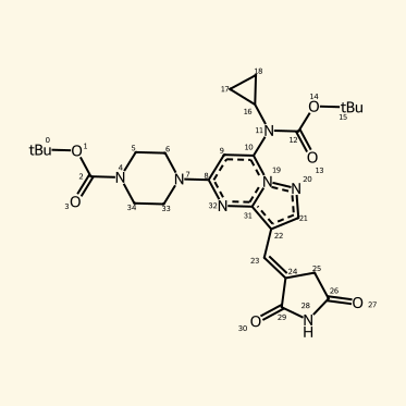 CC(C)(C)OC(=O)N1CCN(c2cc(N(C(=O)OC(C)(C)C)C3CC3)n3ncc(/C=C4\CC(=O)NC4=O)c3n2)CC1